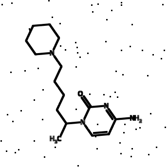 CC(CCCCN1CCCCC1)n1ccc(N)nc1=O